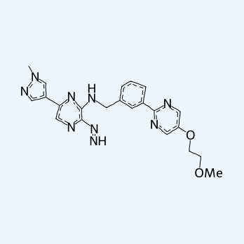 COCCOc1cnc(-c2cccc(CNc3nc(-c4cnn(C)c4)cnc3N=N)c2)nc1